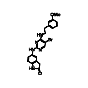 COc1cccc(CCNc2nc(Nc3ccc4c(c3)CC(=O)N4)ncc2Br)c1